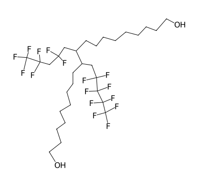 OCCCCCCCCCC(CC(F)(F)CC(F)(F)C(F)(F)F)C(CCCCCCCCCO)CC(F)(F)C(F)(F)C(F)(F)C(F)(F)F